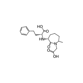 CC1CCC[C@H](N[C@@H](CCc2ccccc2)C(=O)O)C(=O)N1CC(=O)O